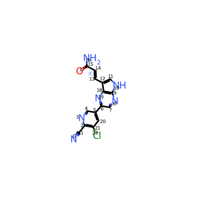 N#Cc1ncc(-c2cnc3[nH]cc(/C=C/C(N)=O)c3n2)cc1Cl